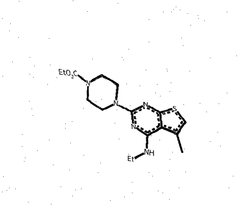 CCNc1nc(N2CCN(C(=O)OCC)CC2)nc2scc(C)c12